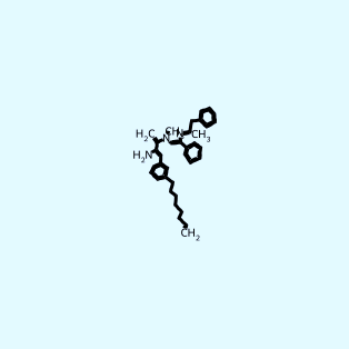 C=CCCCCCCc1cccc(/C=C(\N)C(=C)N(C)/C=C(\N=C(/C)Cc2ccccc2)c2ccccc2)c1